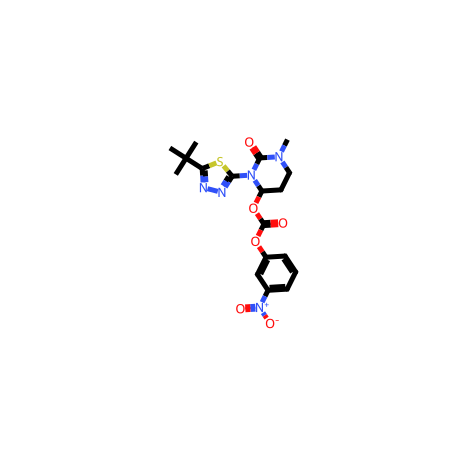 CN1CCC(OC(=O)Oc2cccc([N+](=O)[O-])c2)N(c2nnc(C(C)(C)C)s2)C1=O